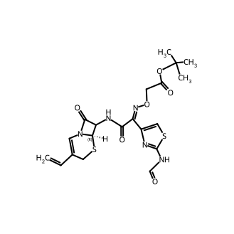 C=CC1=CN2C(=O)C(NC(=O)C(=NOCC(=O)OC(C)(C)C)c3csc(NC=O)n3)[C@H]2SC1